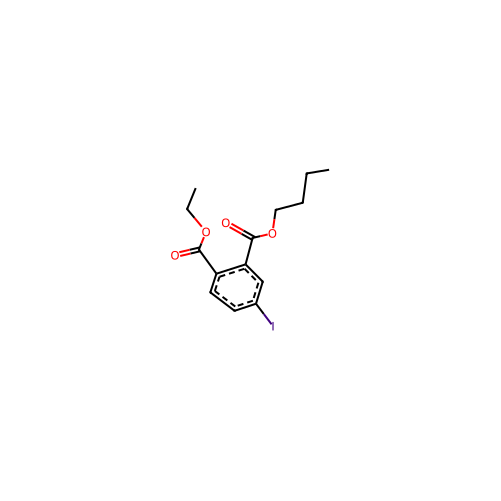 CCCCOC(=O)c1cc(I)ccc1C(=O)OCC